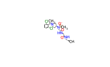 C#CCNC(=O)CNC(=O)CN(C1CCN(C(C)c2c(Cl)cccc2Cl)CC1)[S+](C)[O-]